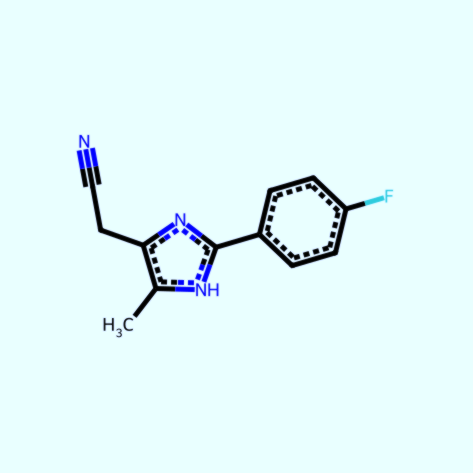 Cc1[nH]c(-c2ccc(F)cc2)nc1CC#N